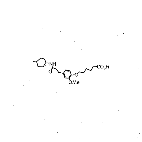 COc1cc(CCC(=O)N[C@H]2CC[C@H](C)CC2)ccc1OCCCCCC(=O)O